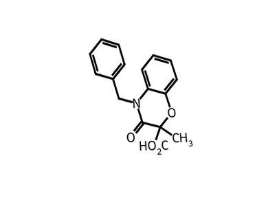 CC1(C(=O)O)Oc2ccccc2N(Cc2ccccc2)C1=O